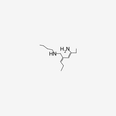 CC/C=C(\C=C(/N)CC)CNCCCC